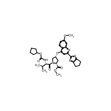 COC(=O)[C@@H]1C[C@@H](Oc2cc(-c3nc4c(s3)CCC4)nc3cc(OC)ccc23)CN1C(=O)[C@@H](NC(=O)OC1CCCC1)C(C)C